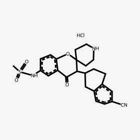 CS(=O)(=O)Nc1ccc2c(c1)C(=O)C(C1CCc3cc(C#N)ccc3C1)C1(CCNCC1)O2.Cl